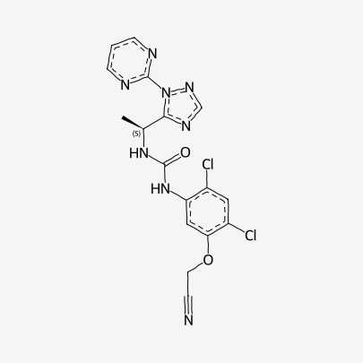 C[C@H](NC(=O)Nc1cc(OCC#N)c(Cl)cc1Cl)c1ncnn1-c1ncccn1